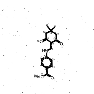 COC(=O)c1ccc(NC=C2C(=O)CC(C)(C)CC2=O)cc1